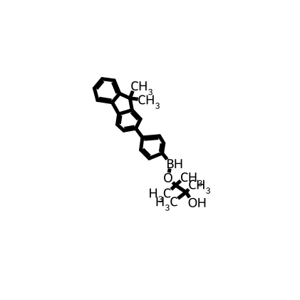 CC1(C)c2ccccc2-c2ccc(-c3ccc(BOC(C)(C)C(C)(C)O)cc3)cc21